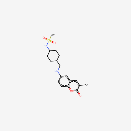 CC(=O)c1cc2cc(NCC3CCC(NS(=O)(=O)C(C)C)CC3)ccc2oc1=O